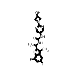 Cc1c(C(NC(=O)Nc2cnc(N3CC(O)C3)nc2)C(F)(F)F)oc2c(F)cc(F)cc12